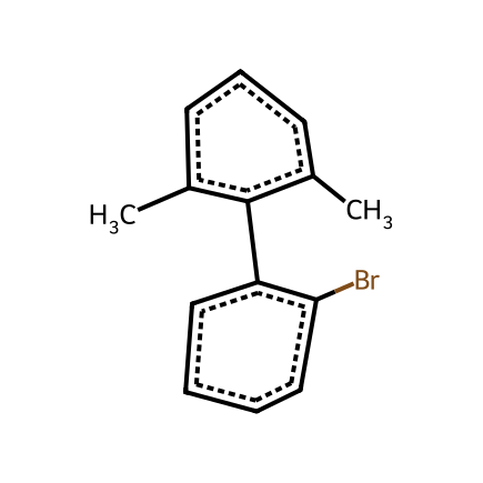 Cc1cccc(C)c1-c1ccccc1Br